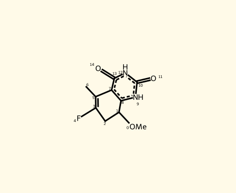 COC1CC(F)=C(C)c2c1[nH]c(=O)[nH]c2=O